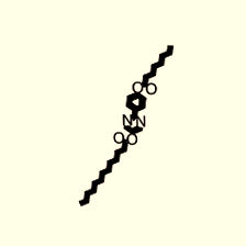 CCCCCCCCCCCCC(=O)Oc1cnc(-c2ccc(OC(=O)CCCCCCC)cc2)nc1